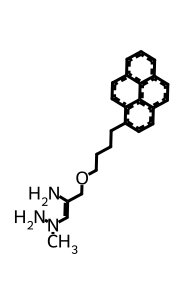 CN(N)/C=C(\N)COCCCCc1ccc2ccc3cccc4ccc1c2c34